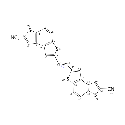 N#Cc1cc2c(ccc3sc(/C=C/c4cc5c(ccc6sc(C#N)cc65)s4)cc32)s1